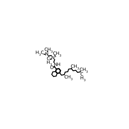 CCN(CC)CC[N+](CC)(CC)CCNC(=O)c1ccc(CC(C)CCCC(C)CCCC(C)C)c2c1CCCC2